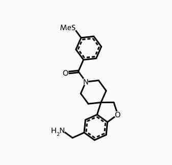 CSc1cccc(C(=O)N2CCC3(CC2)COc2ccc(CN)cc23)c1